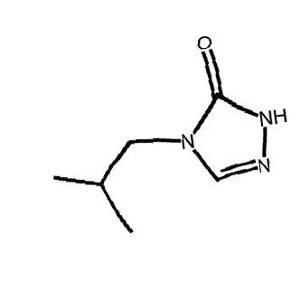 CC(C)Cn1cn[nH]c1=O